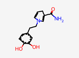 NC(=O)C1=CN(CCc2ccc(O)c(O)c2)C=CC1